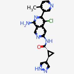 Cc1ccncc1-c1nc(N)c2cnc(NC(=O)[C@@H]3C[C@H]3c3cn[nH]c3)cc2c1Cl